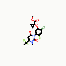 COC(=O)C1(Oc2cc(-n3c(=O)cc(C(C)(F)F)n(C)c3=O)c(F)cc2Cl)CC1